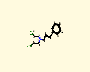 ClCCN(CC=Cc1ccccc1)CCCl